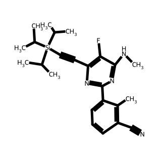 CNc1nc(-c2cccc(C#N)c2C)nc(C#C[Si](C(C)C)(C(C)C)C(C)C)c1F